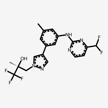 Cc1cc(Nc2nccc(C(F)F)n2)cc(-c2cnn(C[C@](C)(O)C(F)(F)F)c2)c1